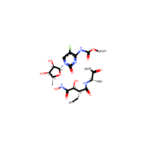 CCCCCOC(=O)Nc1nc(=O)n([C@@H]2O[C@H](C)[C@@H](O)[C@H]2O)cc1F.CNC(=O)[C@@H](NC(=O)[C@H](CC(C)C)[C@H](O)C(=O)NO)C(C)(C)C